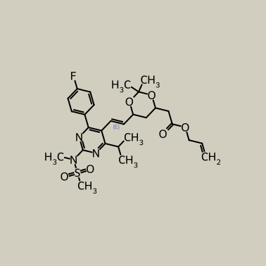 C=CCOC(=O)CC1CC(/C=C/c2c(-c3ccc(F)cc3)nc(N(C)S(C)(=O)=O)nc2C(C)C)OC(C)(C)O1